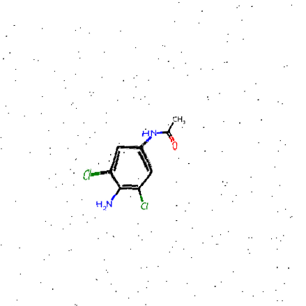 CC(=O)Nc1cc(Cl)c(N)c(Cl)c1